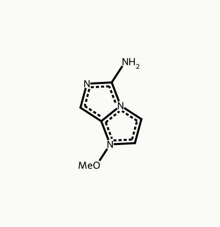 COn1ccn2c(N)ncc12